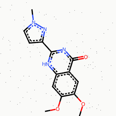 COc1cc2[nH]c(-c3ccn(C)n3)nc(=O)c2cc1OC